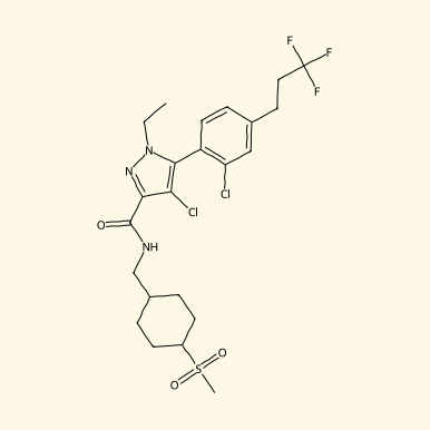 CCn1nc(C(=O)NCC2CCC(S(C)(=O)=O)CC2)c(Cl)c1-c1ccc(CCC(F)(F)F)cc1Cl